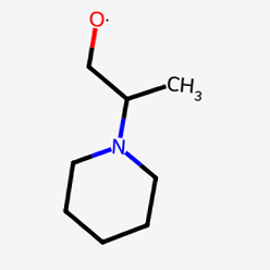 CC(C[O])N1CCCCC1